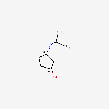 CC(C)N[C@H]1CC[C@@H](O)C1